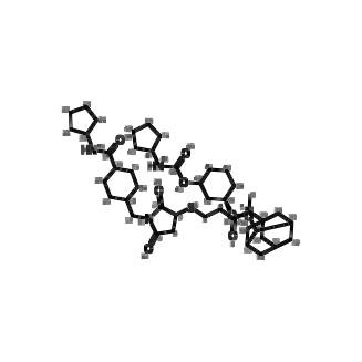 CN(C(=O)CCSC1CC(=O)N(CC2CCC(C(=O)NC3CCCC3)CC2)C1=O)C12CC3CC(C1)C(OO[C@@H]1CCCC(OC(=O)NC4CCCC4)C1)C(C3)C2